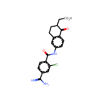 N=C(N)c1ccc(C(=O)Nc2ccc3c(c2)CCC(CC(=O)O)C3=O)c(Cl)c1